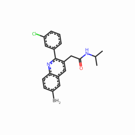 Bc1ccc2nc(-c3cccc(Cl)c3)c(CC(=O)NC(C)C)cc2c1